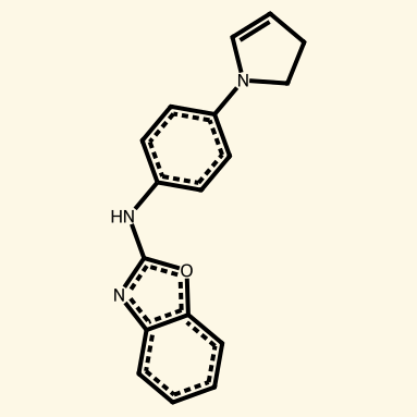 C1=CN(c2ccc(Nc3nc4ccccc4o3)cc2)CC1